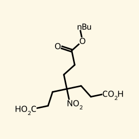 CCCCOC(=O)CCC(CCC(=O)O)(CCC(=O)O)[N+](=O)[O-]